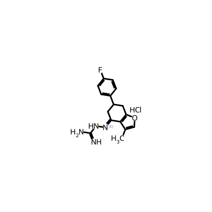 Cc1coc2c1/C(=N/NC(=N)N)CC(c1ccc(F)cc1)C2.Cl